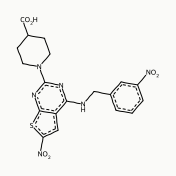 O=C(O)C1CCN(c2nc(NCc3cccc([N+](=O)[O-])c3)c3cc([N+](=O)[O-])sc3n2)CC1